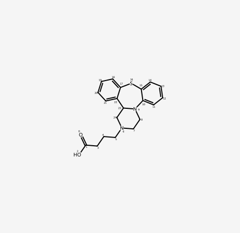 O=C(O)CCCN1CCN2c3ccccc3Sc3ccccc3C2C1